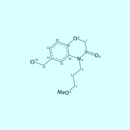 COCCCN1C(=O)COc2ccc(CCl)cc21